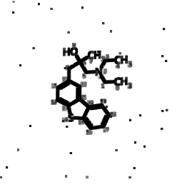 CCN(CC)CC(C)(O)Cc1ccc2sc3ccccc3c2c1